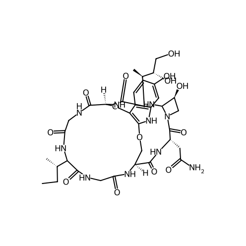 CC[C@H](C)C1NC(=O)CNC(=O)[C@@H]2Cc3c([nH]c4cc(O)ccc34)OC[C@H](NC(=O)CNC1=O)C(=O)N[C@@H](CC(N)=O)C(=O)N1C[C@H](O)C1N[C@@H]([C@@H](C)[C@@H](O)CO)C(=O)N2